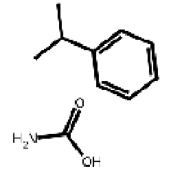 CC(C)c1ccccc1.NC(=O)O